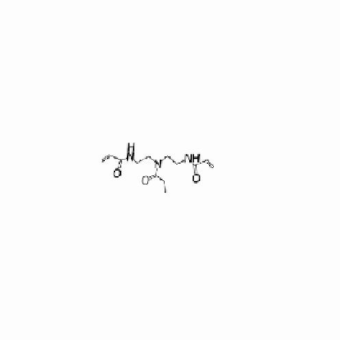 C=CC(=O)NCCN(CCNC(=O)C=C)C(=O)CC